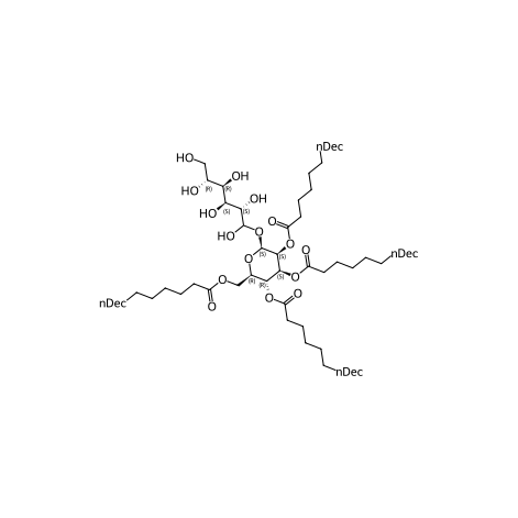 CCCCCCCCCCCCCCCC(=O)OC[C@H]1O[C@@H](OC(O)[C@@H](O)[C@@H](O)[C@H](O)[C@H](O)CO)[C@@H](OC(=O)CCCCCCCCCCCCCCC)[C@@H](OC(=O)CCCCCCCCCCCCCCC)[C@@H]1OC(=O)CCCCCCCCCCCCCCC